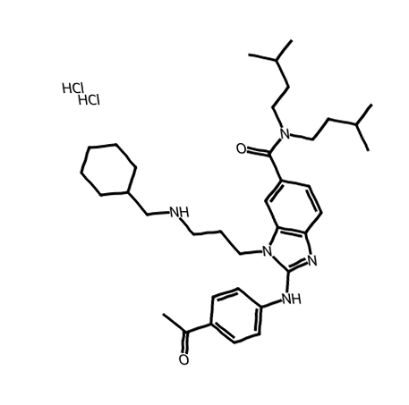 CC(=O)c1ccc(Nc2nc3ccc(C(=O)N(CCC(C)C)CCC(C)C)cc3n2CCCNCC2CCCCC2)cc1.Cl.Cl